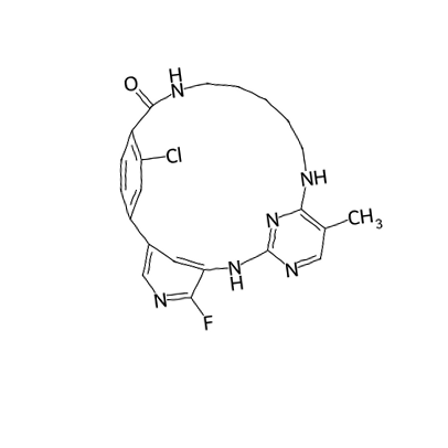 Cc1cnc2nc1NCCCCCNC(=O)c1ccc(cc1Cl)-c1cnc(F)c(c1)N2